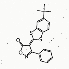 CC(C)(C)c1ccc2c(c1)S/C(=C1\C(=O)ON=C1c1ccccc1)S2